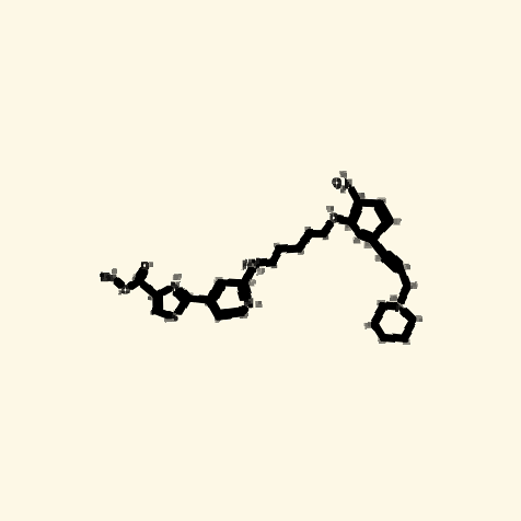 CC(C)(C)OC(=O)c1csc(-c2ccnc(NCCCCCOc3cc(C#CCN4CCCCC4)ccc3[N+](=O)[O-])c2)n1